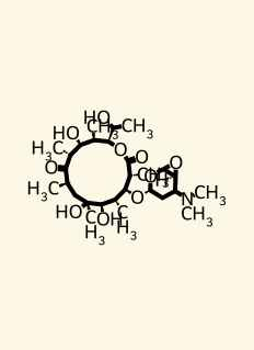 CC(O)[C@H]1OC(=O)[C@H](C)[C@@H](O[C@H]2CC(N(C)C)[C@@H]3OC3O2)[C@H](C)[C@@H](O)[C@](C)(O)C[C@@H](C)C(=O)[C@H](C)[C@@H](O)[C@H]1C